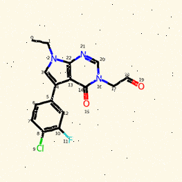 CCn1cc(-c2ccc(Cl)c(F)c2)c2c(=O)n(CC=O)cnc21